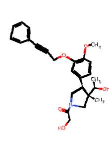 COc1ccc([C@@H]2CN(C(=O)CO)C[C@@]2(C)[C@@H](C)O)cc1OCC#Cc1ccccc1